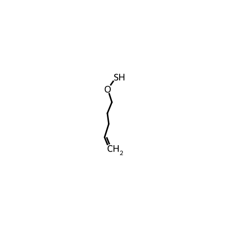 C=CCCCOS